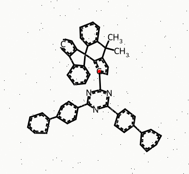 CC1(C)c2ccccc2C2(c3ccccc3-c3ccccc32)c2cc(-c3nc(-c4ccc(-c5ccccc5)cc4)nc(-c4ccc(-c5ccccc5)cc4)n3)ccc21